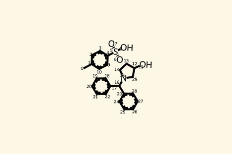 Cc1ccc(S(=O)(=O)O)cc1.OC1CCN(C(c2ccccc2)c2ccccc2)C1